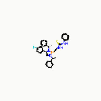 C[C@@H](c1ccccc1)N1C=C(c2ccc(F)cc2)N([C@@H](C)c2ccccc2)P1CCNC(=S)Nc1ccccc1